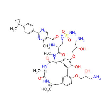 Cc1nc(-c2ccc(C3(C)CC3)cc2)ncc1C(=O)NC(CNS(N)(=O)=O)C(=O)N(C)[C@@H]1C(=O)N[C@@H](C)C(=O)N[C@H](C(=O)O)Cc2ccc(OCC(O)CN)c(c2)-c2cc1cc(OCC(O)CN)c2O